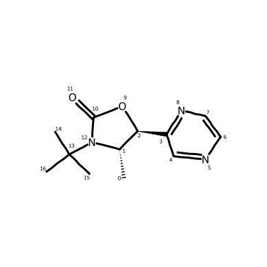 C[C@H]1[C@H](c2cnccn2)OC(=O)N1C(C)(C)C